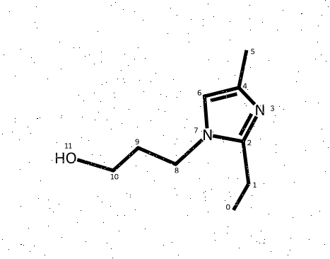 CCc1nc(C)cn1CCCO